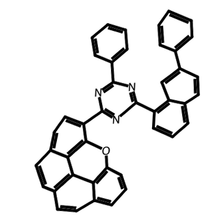 c1ccc(-c2ccc3cccc(-c4nc(-c5ccccc5)nc(-c5ccc6ccc7ccc8cccc9c8c7c6c5O9)n4)c3c2)cc1